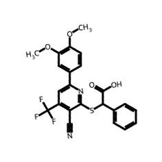 COc1ccc(-c2cc(C(F)(F)F)c(C#N)c(SC(C(=O)O)c3ccccc3)n2)cc1OC